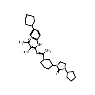 NC(=O)/C(N)=C(/N=C(\N)N1CCCC(N2CCN(C3CCCC3)C2=O)C1)Nc1ccc(C2CCNCC2)cc1